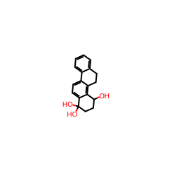 OC1CCC(O)(O)c2ccc3c(c21)CCc1ccccc1-3